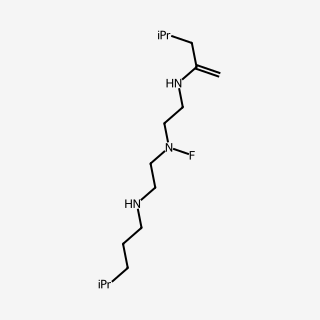 C=C(CC(C)C)NCCN(F)CCNCCCC(C)C